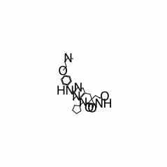 CN(C)CCOc1ccc(NC2N=CC3=C(N2C)N(C2CCCC2)C(=O)C2(CC(=O)NC2=O)C3)cc1